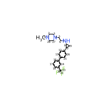 CN1CCN(CCN[C@@H]2C[C@H]2c2ccc(-c3cccc(C(F)(F)F)c3)cc2)CC1